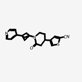 N#Cc1cc(C2CCN(C34CC(c5ccncc5)(C3)C4)C(=O)C2)cs1